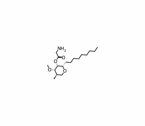 CCCCCCCCC[C@@H]1OC[C@@H](C)[C@H](OC)[C@@H]1OC(=O)CN